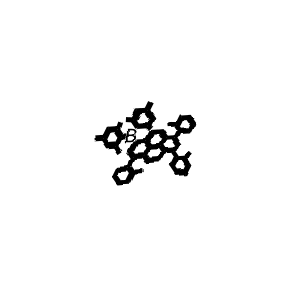 Cc1cc(C)c(B(c2c(C)cc(C)cc2C)c2cc(-c3ccccc3C)c3ccc4c(-c5ccccc5C)cc(-c5ccccc5C)c5ccc2c3c54)c(C)c1